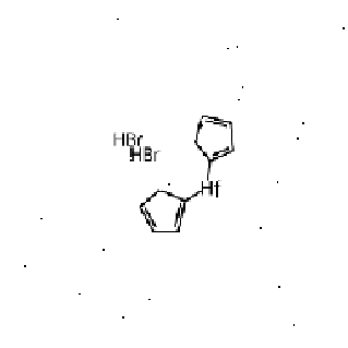 Br.Br.C1=CC[C]([Hf][C]2=CC=CC2)=C1